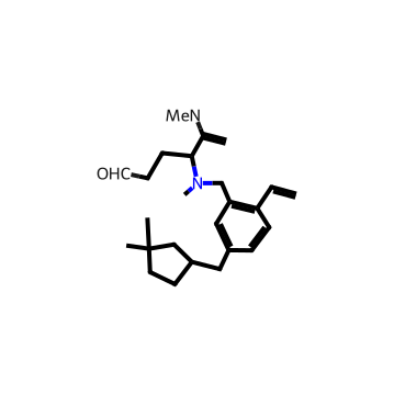 C=Cc1ccc(CC2CCC(C)(C)C2)cc1CN(C)C(CCC=O)C(=C)NC